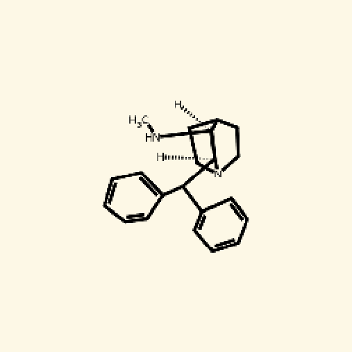 CN[C@H]1C2CCN(CC2)[C@H]1C(c1ccccc1)c1ccccc1